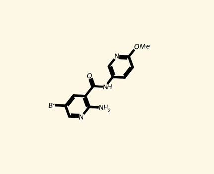 COc1ccc(NC(=O)c2cc(Br)cnc2N)cn1